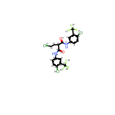 O=C(Nc1ccc(Cl)c(C(F)(F)F)c1)C(CCCl)C(=O)Nc1ccc(Cl)c(C(F)(F)F)c1